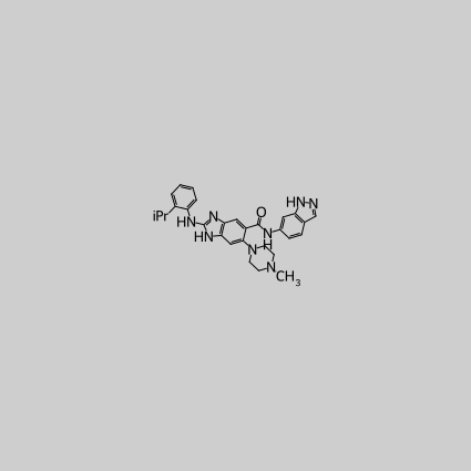 CC(C)c1ccccc1Nc1nc2cc(C(=O)Nc3ccc4cn[nH]c4c3)c(N3CCN(C)CC3)cc2[nH]1